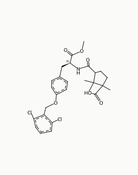 COC(=O)[C@H](Cc1ccc(OCc2c(Cl)cccc2Cl)cc1)NC(=O)C1CCC(C)(C(=O)O)C1(C)C